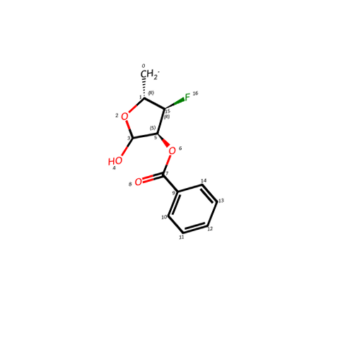 [CH2][C@H]1OC(O)[C@H](OC(=O)c2ccccc2)[C@@H]1F